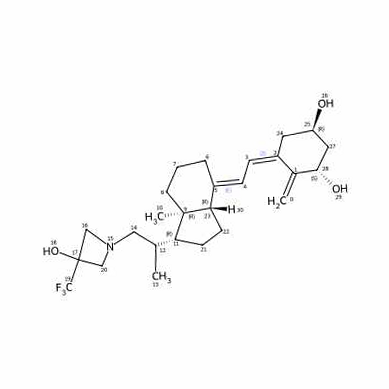 C=C1/C(=C\C=C2/CCC[C@]3(C)[C@@H](C(C)CN4CC(O)(C(F)(F)F)C4)CC[C@@H]23)C[C@@H](O)C[C@@H]1O